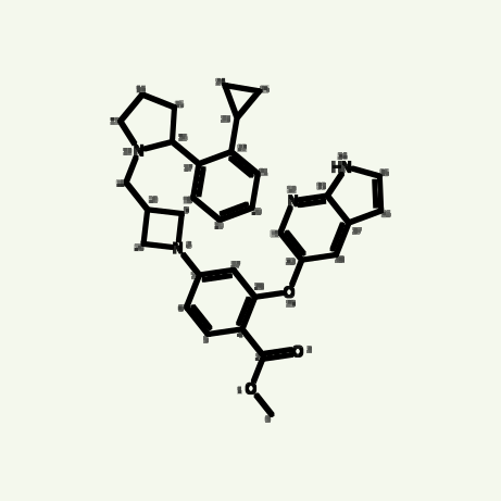 COC(=O)c1ccc(N2CC(CN3CCCC3c3ccccc3C3CC3)C2)cc1Oc1cnc2[nH]ccc2c1